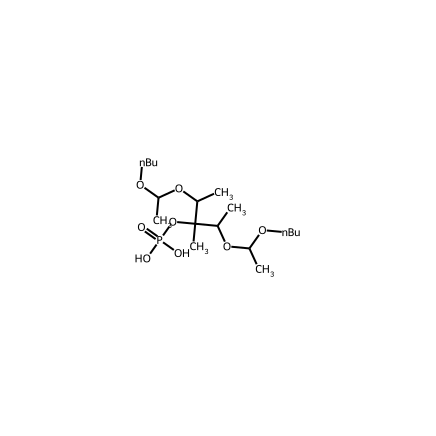 CCCCOC(C)OC(C)C(C)(OP(=O)(O)O)C(C)OC(C)OCCCC